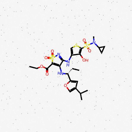 CCOC(=O)C1=C(N[C@H](CC)c2cc(C(C)C)co2)C(Nc2csc(S(=O)(=O)N(C)C3CC3)c2O)=NS1(=O)=O